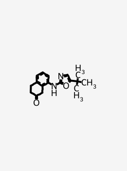 CC(C)(C)c1cnc(Nc2cccc3c2CC(=O)CC3)o1